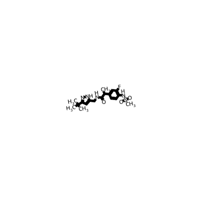 CC(C(=O)NCc1cc(C(C)(C)C)n[nH]1)c1ccc(NS(C)(=O)=O)c(F)c1